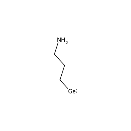 NCC[CH2][Ge]